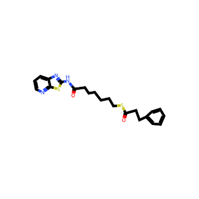 O=C(CCCCCCSC(=O)CCc1ccccc1)Nc1nc2cccnc2s1